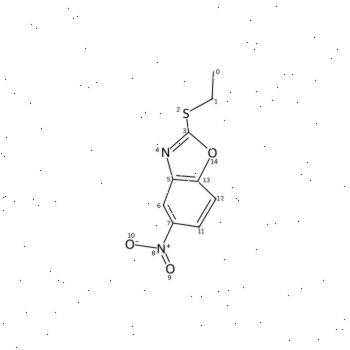 CCSc1nc2cc([N+](=O)[O-])ccc2o1